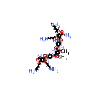 COc1cc(OC)c(C(=O)N[C@H]2CC[C@@H](NC(=O)c3cc(C(N)=O)c(OCCCCCN)cc3OCCCCCN)CC2)cc1C(=O)N[C@H]1CC[C@@H](NC(=O)c2cc(C(N)=O)c(OCCCCCN)cc2OCCCCCN)CC1